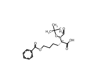 CC(C)(C)ON(C=O)[C@@H](CCCCOC(=O)c1ccccc1)C(=O)O